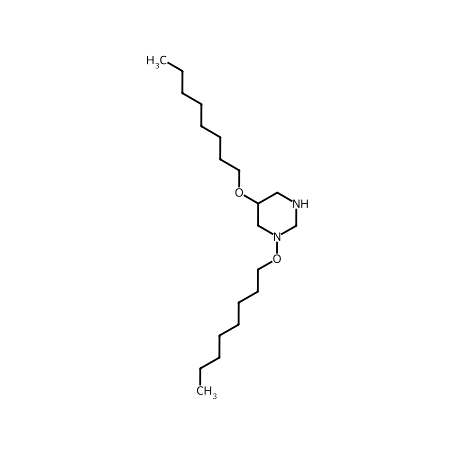 CCCCCCCCOC1CNCN(OCCCCCCCC)C1